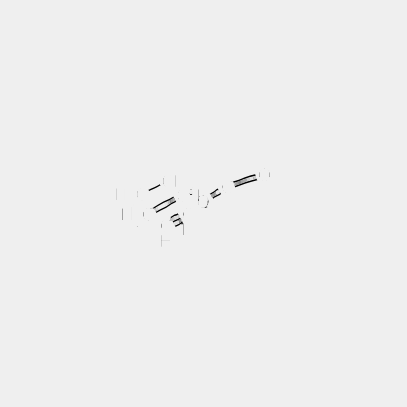 C#C.C=C.CC.O=C=O